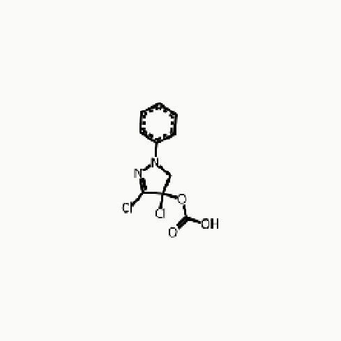 O=C(O)OC1(Cl)CN(c2ccccc2)N=C1Cl